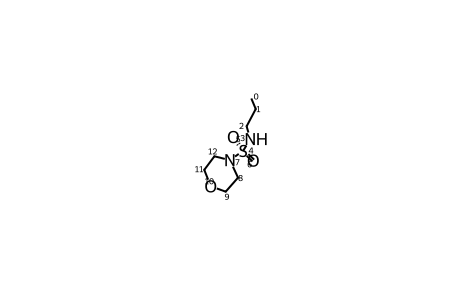 CCCNS(=O)(=O)N1CCOCC1